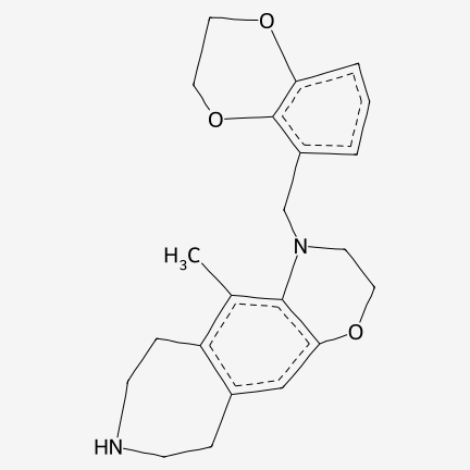 Cc1c2c(cc3c1N(Cc1cccc4c1OCCO4)CCO3)CCNCC2